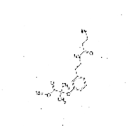 CC(C)CCC(=O)NCCc1cccc(OC(C)(C)C(=O)OC(C)(C)C)c1